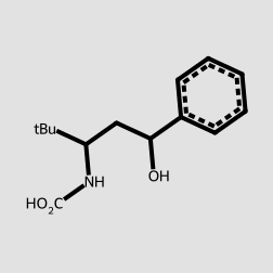 CC(C)(C)C(CC(O)c1ccccc1)NC(=O)O